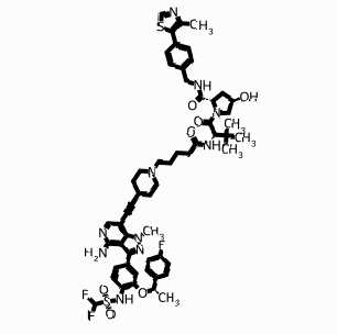 Cc1ncsc1-c1ccc(CNC(=O)[C@@H]2C[C@@H](O)CN2C(=O)[C@@H](NC(=O)CCCCN2CCC(C#Cc3cnc(N)c4c(-c5ccc(NS(=O)(=O)C(F)F)c(O[C@@H](C)c6ccc(F)cc6)c5)nn(C)c34)CC2)C(C)(C)C)cc1